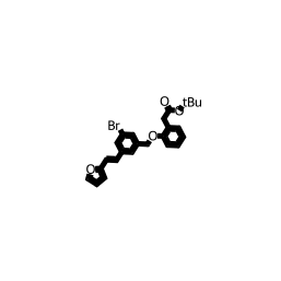 CC(C)(C)OC(=O)Cc1ccccc1OCc1cc(Br)cc(C=Cc2ccco2)c1